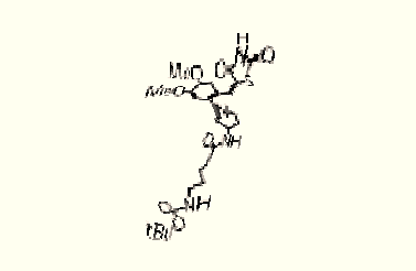 COc1cc(C=C2SC(=O)NC2=O)c(N2CC[C@@H](NC(=O)CCCCNC(=O)OC(C)(C)C)C2)cc1OC